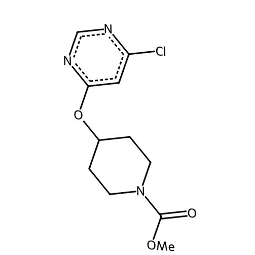 COC(=O)N1CCC(Oc2cc(Cl)ncn2)CC1